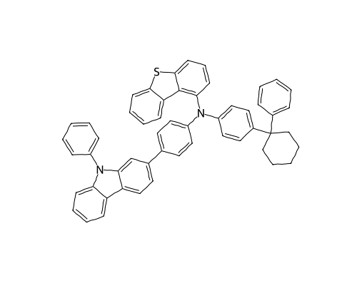 c1ccc(-n2c3ccccc3c3ccc(-c4ccc(N(c5ccc(C6(c7ccccc7)CCCCC6)cc5)c5cccc6sc7ccccc7c56)cc4)cc32)cc1